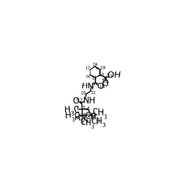 CC(C)(C)CC(C)(C(=O)NCCNC(=O)C1CCCCC1C(=O)O)C(C)(C)C